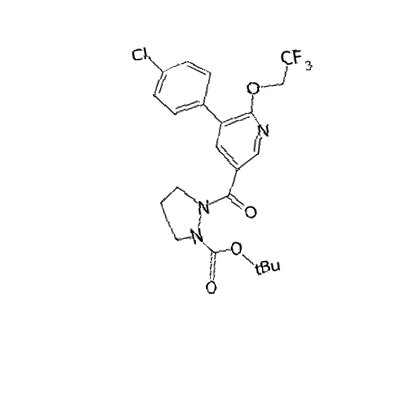 CC(C)(C)OC(=O)N1CCCN1C(=O)c1cnc(OCC(F)(F)F)c(-c2ccc(Cl)cc2)c1